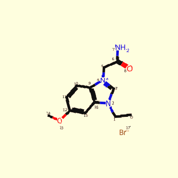 CCn1c[n+](CC(N)=O)c2ccc(OC)cc21.[Br-]